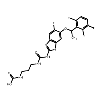 CC(Oc1cc2sc(NC(=O)NCCCNC(=O)O)nc2cc1F)c1c(Cl)ccc(F)c1Cl